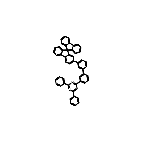 c1ccc(-c2cc(-c3cccc(-c4cccc(-c5ccc6c(c5)C5(c7ccccc7-c7ccccc75)c5ccccc5-6)c4)c3)nc(-c3ccccc3)n2)cc1